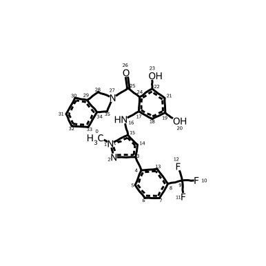 Cn1nc(-c2cccc(C(F)(F)F)c2)cc1Nc1cc(O)cc(O)c1C(=O)N1Cc2ccccc2C1